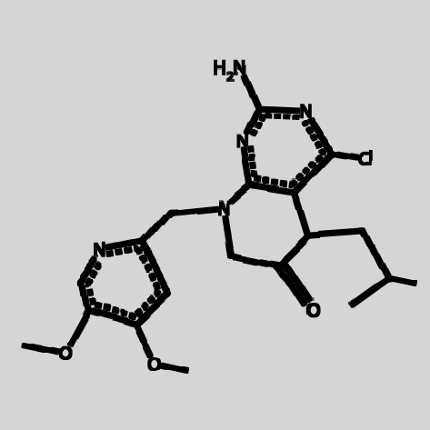 COc1cnc(CN2CC(=O)C(CC(C)C)c3c(Cl)nc(N)nc32)cc1OC